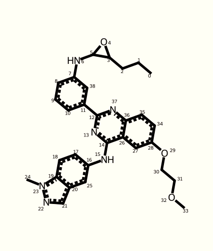 CCCC1OC1Nc1cccc(-c2nc(Nc3ccc4c(cnn4C)c3)c3cc(OCCOC)ccc3n2)c1